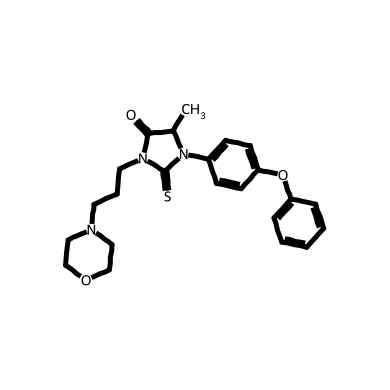 CC1C(=O)N(CCCN2CCOCC2)C(=S)N1c1ccc(Oc2ccccc2)cc1